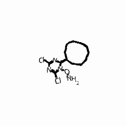 NON1C(Cl)=NC(Cl)=NC1=C1CCCCCCCCC1